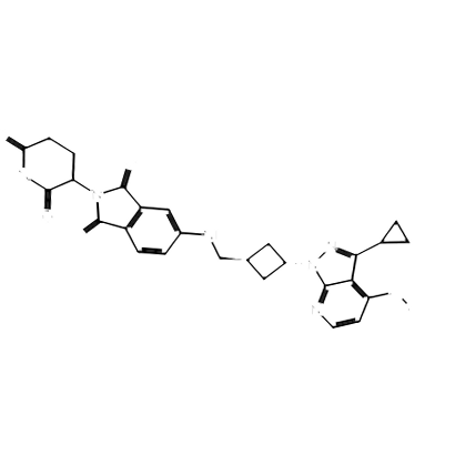 COc1ccnc2c1c(C1CC1)nn2[C@H]1C[C@H](CNc2ccc3c(c2)C(=O)N(C2CCC(=O)NC2=O)C3=O)C1